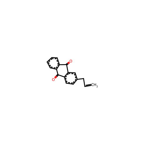 C=CCc1ccc2c(c1)C(=O)c1ccccc1C2=O